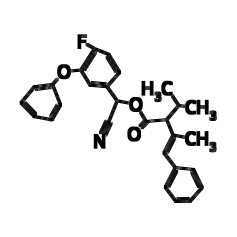 C/C(=C\c1ccccc1)C(C(=O)OC(C#N)c1ccc(F)c(Oc2ccccc2)c1)C(C)C